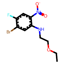 CCOCCNc1cc(Br)c(F)cc1[N+](=O)[O-]